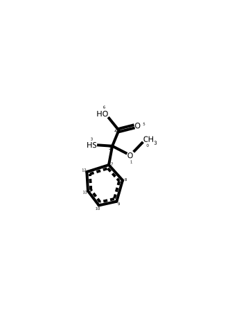 COC(S)(C(=O)O)c1ccccc1